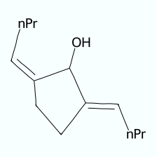 CCC/C=C1/CC/C(=C\CCC)C1O